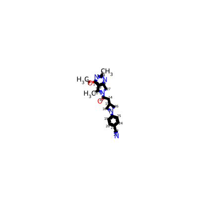 COc1nc(C)nc2c1C(C)N(C(=O)CC1CN(c3ccc(C#N)cc3)C1)C2